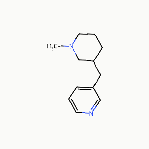 CN1CCCC(Cc2cccnc2)C1